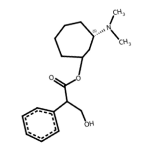 CN(C)[C@H]1CCCCC(OC(=O)C(CO)c2ccccc2)C1